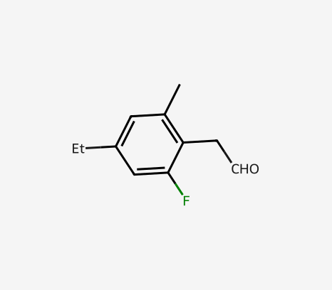 CCc1cc(C)c(CC=O)c(F)c1